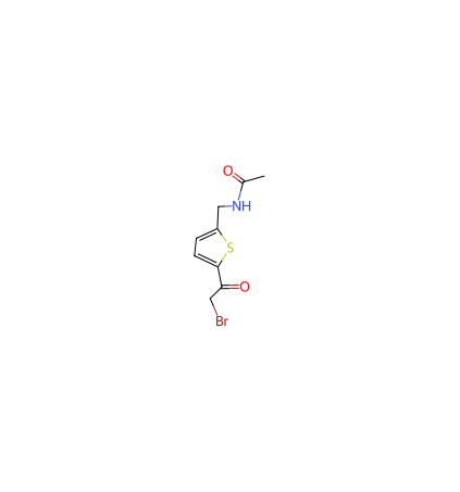 CC(=O)NCc1ccc(C(=O)CBr)s1